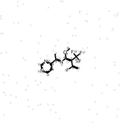 C=C(F)/C(=C(\N=C(/C)c1ccncn1)OC)C(F)(F)F